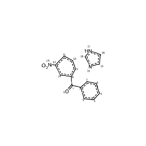 O=C(c1ccccc1)c1cccc([N+](=O)[O-])c1.c1c[nH]cn1